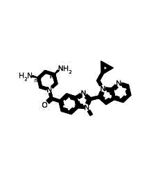 Cn1c(-c2cc3cccnc3n2CC2CC2)nc2cc(C(=O)N3C[C@H](N)C[C@H](N)C3)ccc21